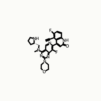 C#Cc1c(F)ccc2[nH]c(=O)cc(-c3ncc4c(N(C)C[C@@H]5CCCN5)nc(N5CCOCC5)nc4c3F)c12